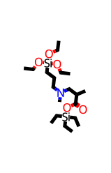 CCO[Si](CCCN(C)CC(C)C(=O)O[Si](CC)(CC)CC)(OCC)OCC